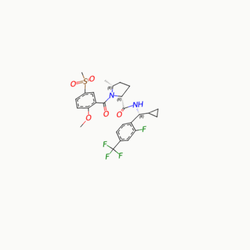 COc1ccc(S(C)(=O)=O)cc1C(=O)N1[C@H](C)CC[C@@H]1C(=O)N[C@@H](c1ccc(C(F)(F)F)cc1F)C1CC1